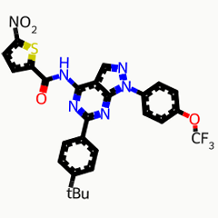 CC(C)(C)c1ccc(-c2nc(NC(=O)c3ccc([N+](=O)[O-])s3)c3cnn(-c4ccc(OC(F)(F)F)cc4)c3n2)cc1